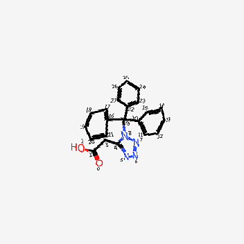 O=C(O)Cc1nnnn1C(c1ccccc1)(c1ccccc1)c1ccccc1